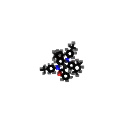 CC(C)(C)c1ccc(N2c3cc(C(C)(C)C)cc4c3B(c3cc5c(cc3N4c3ccc(C(C)(C)C)cc3-c3ccccc3)C(C)(C)CCC5(C)C)c3c2oc2ccccc32)cc1